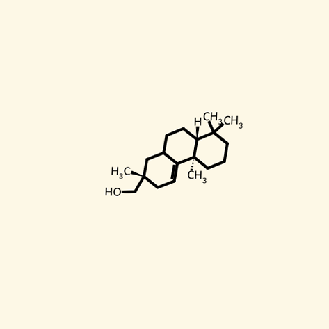 CC1(C)CCC[C@@]2(C)C3=CC[C@](C)(CO)CC3CC[C@H]12